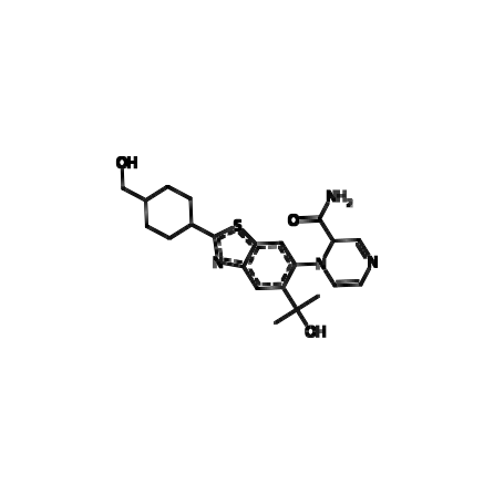 CC(C)(O)c1cc2nc(C3CCC(CO)CC3)sc2cc1N1C=CN=CC1C(N)=O